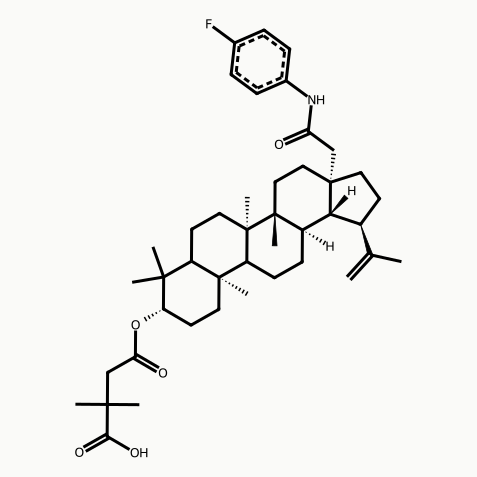 C=C(C)[C@@H]1CC[C@]2(CC(=O)Nc3ccc(F)cc3)CC[C@]3(C)[C@H](CCC4[C@@]5(C)CC[C@H](OC(=O)CC(C)(C)C(=O)O)C(C)(C)C5CC[C@]43C)[C@@H]12